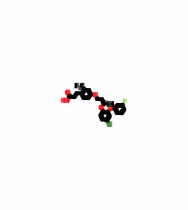 Cc1cc(OCC[C@H](C)Oc2ccc(Cl)cc2Oc2cccc(F)c2)ccc1CCC(=O)O